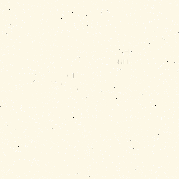 CC(C)CNN.Cc1ccccc1S(=O)(=O)O.Cc1ccccc1S(=O)(=O)O